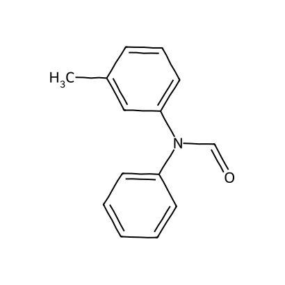 Cc1cccc(N(C=O)c2ccccc2)c1